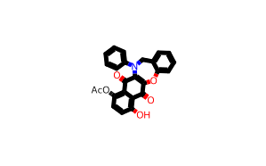 CC(=O)Oc1ccc(O)c2c1C(=O)C1=C(Oc3ccccc3CN1c1ccccc1)C2=O